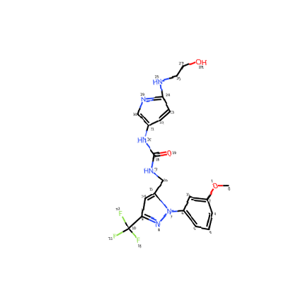 COc1cccc(-n2nc(C(F)(F)F)cc2CNC(=O)Nc2ccc(NCCO)nc2)c1